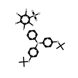 CC(C)(C)Oc1ccc([S+](c2ccccc2)c2ccc(OC(C)(C)C)cc2)cc1.O=S(=O)([O-])c1c(F)c(F)c(F)c(F)c1F